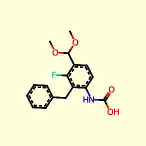 COC(OC)c1ccc(NC(=O)O)c(Cc2ccccc2)c1F